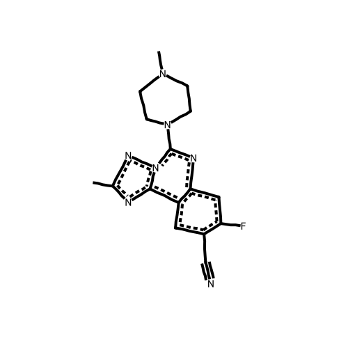 Cc1nc2c3cc(C#N)c(F)cc3nc(N3CCN(C)CC3)n2n1